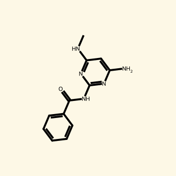 CNc1cc(N)nc(NC(=O)c2ccccc2)n1